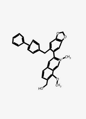 COc1c(CO)ccc2cc(-c3cc4c(cc3Cc3ccc(-c5ccccc5)cc3)OCO4)[n+](C)cc12